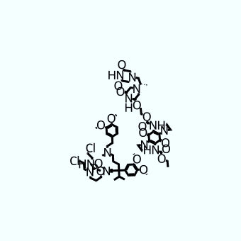 CCOC(=O)NC1=C(N2CC2)C(=O)C(NC(=O)OCC)=C(N2CC2)C1=O.COc1ccc(CCN(C)CCCC(C#N)(c2ccc(OC)c(OC)c2)C(C)C)cc1OC.C[C@@H](CN1CC(=O)NC(=O)C1)N1CC(=O)NC(=O)C1.O=P1(NCCCl)OCCCN1CCCl